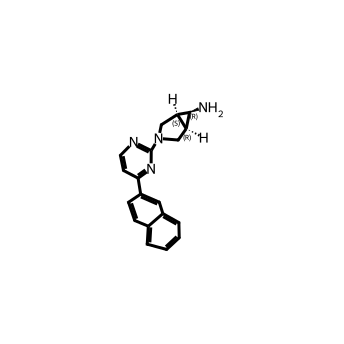 N[C@H]1[C@H]2CN(c3nccc(-c4ccc5ccccc5c4)n3)C[C@@H]12